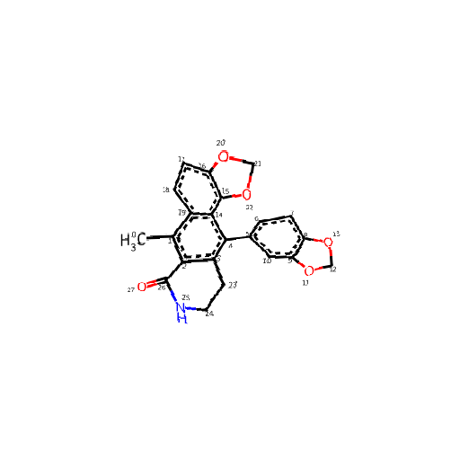 Cc1c2c(c(-c3ccc4c(c3)OCO4)c3c4c(ccc13)OCO4)CCNC2=O